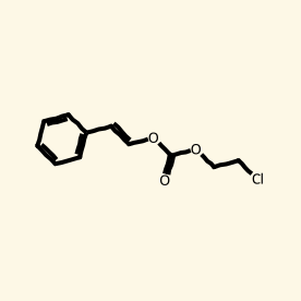 O=C(OC=Cc1ccccc1)OCCCl